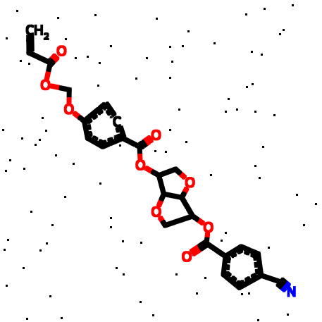 C=CC(=O)OCOc1ccc(C(=O)OC2COC3C(OC(=O)c4ccc(C#N)cc4)COC23)cc1